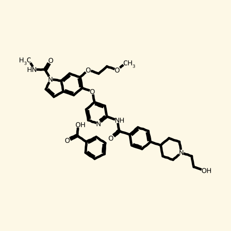 CNC(=O)n1ccc2cc(Oc3ccnc(NC(=O)c4ccc(C5CCN(CCO)CC5)cc4)c3)c(OCCOC)cc21.O=C(O)c1ccccc1